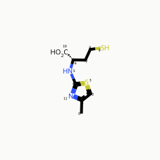 Cc1csc(N[C@@H](CCS)C(=O)O)n1